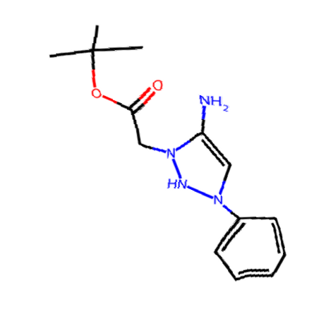 CC(C)(C)OC(=O)CN1NN(c2ccccc2)C=C1N